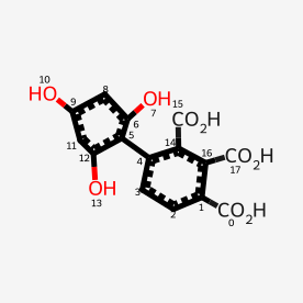 O=C(O)c1ccc(-c2c(O)cc(O)cc2O)c(C(=O)O)c1C(=O)O